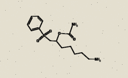 NCCCCCC(CS(=O)(=O)c1ccccc1)OC(N)=O